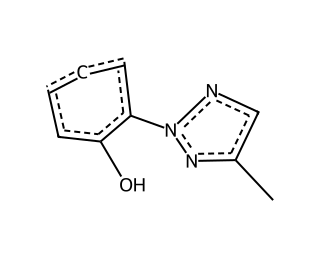 Cc1cnn(-c2ccccc2O)n1